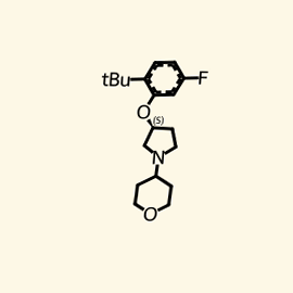 CC(C)(C)c1ccc(F)cc1O[C@H]1CCN(C2CCOCC2)C1